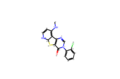 CNC1=C2c3ncn(-c4ccccc4Cl)c(=O)c3SC2NC=C1